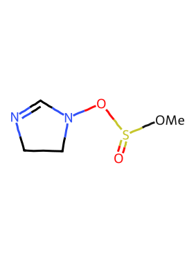 COS(=O)ON1C=NCC1